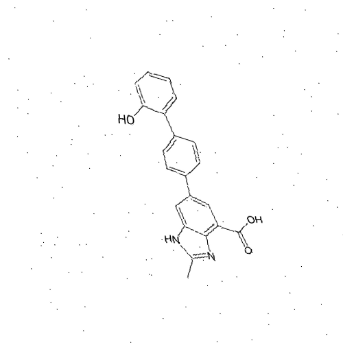 Cc1nc2c(C(=O)O)cc(-c3ccc(-c4ccccc4O)cc3)cc2[nH]1